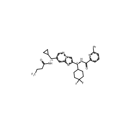 CC(C)c1cccc(C(=O)N[C@H](c2cn3ncc([C@H](NC(=O)CCC(F)(F)F)C4CC4)cc3n2)C2CCC(F)(F)CC2)n1